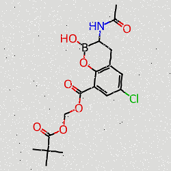 CC(=O)NC1Cc2cc(Cl)cc(C(=O)OCOC(=O)C(C)(C)C)c2OB1O